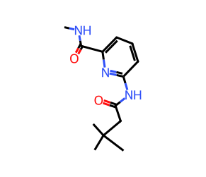 CNC(=O)c1cccc(NC(=O)CC(C)(C)C)n1